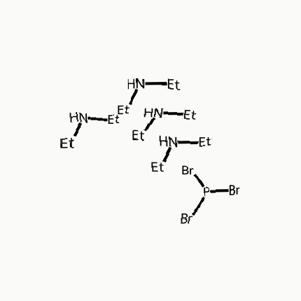 BrP(Br)Br.CCNCC.CCNCC.CCNCC.CCNCC